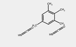 Cc1cc(C)c(C)c(C)c1.N=C=O.N=C=O